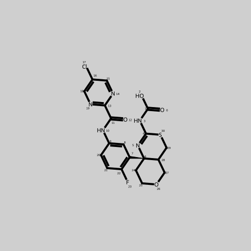 O=C(O)NC1=N[C@@]2(c3cc(NC(=O)c4ncc(Cl)cn4)ccc3F)CCOCC2CS1